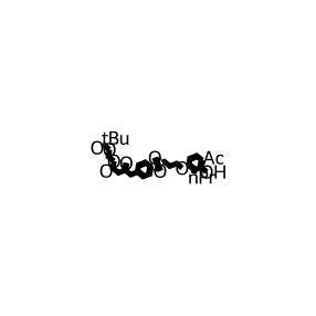 CCCc1c(OCCCS(=O)(=O)c2ccc(CC(=O)CC(=O)OCOC(=O)C(C)(C)C)cc2)ccc(C(C)=O)c1O